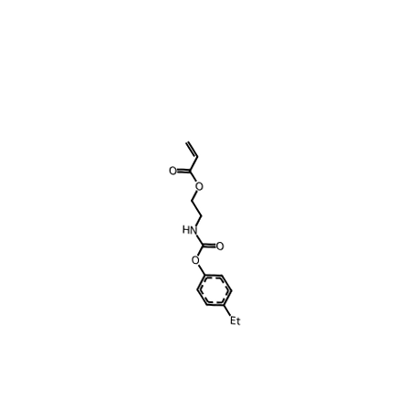 C=CC(=O)OCCNC(=O)Oc1ccc(CC)cc1